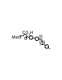 COCCC(CC(=O)c1ccc(-c2ccc(Nc3nc(-c4ccc(C)cc4)cs3)cc2)cc1)C(=O)O